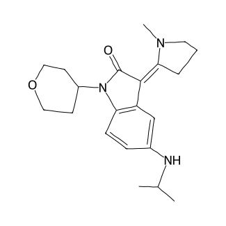 CC(C)Nc1ccc2c(c1)/C(=C1\CCCN1C)C(=O)N2C1CCOCC1